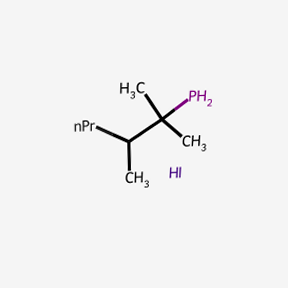 CCCC(C)C(C)(C)P.I